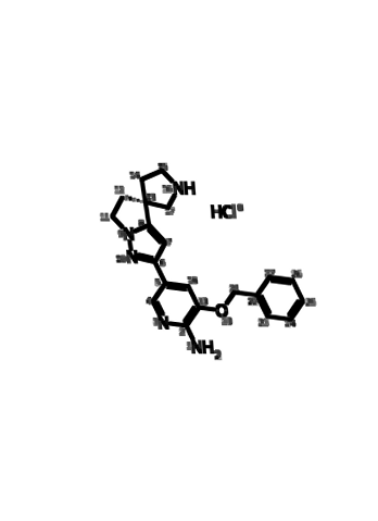 Cl.Nc1ncc(-c2cc3n(n2)CC[C@@]32CCNC2)cc1OCc1ccccc1